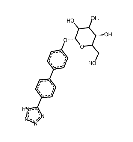 OCC1O[C@H](Oc2ccc(-c3ccc(-c4nnn[nH]4)cc3)cc2)C(O)C(O)[C@@H]1O